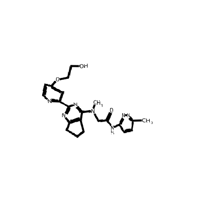 Cc1ccc(NC(=O)CN(C)c2nc(-c3cc(OCCO)ccn3)nc3c2CCC3)nn1